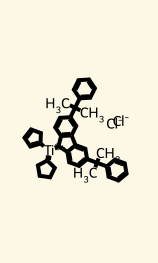 CC(C)(c1ccccc1)c1ccc2c(c1)-c1cc(C(C)(C)c3ccccc3)ccc1[CH]2[Ti+2]([C]1=CC=CC1)=[C]1CCCC1.[Cl-].[Cl-]